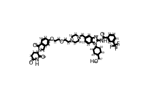 O=C1CCC(N2Cc3cc(OCCOCCN4CCN(Cc5ccc6c(c5)nc(NC(=O)c5cccc(C(F)(F)F)c5)n6C5CCC(CO)CC5)CC4)ccc3C2=O)C(=O)N1